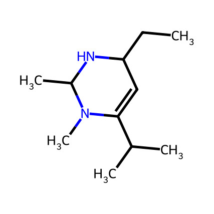 CCC1C=C(C(C)C)N(C)C(C)N1